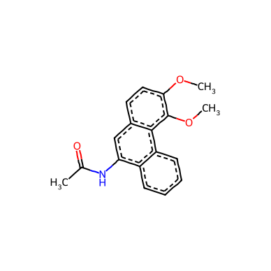 COc1ccc2cc(NC(C)=O)c3ccccc3c2c1OC